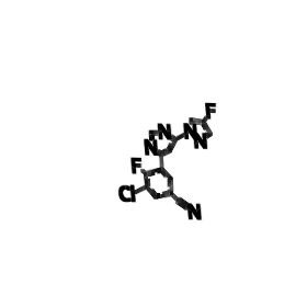 N#Cc1cc(Cl)c(F)c(-c2cc(-n3cc(F)cn3)ncn2)c1